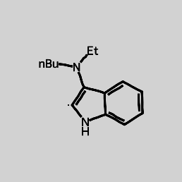 CCCCN(CC)c1[c][nH]c2ccccc12